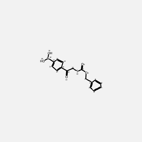 O=C(OCc1ccccc1)SCC(=O)c1ccc(B(O)O)cc1